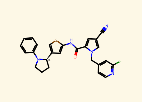 N#Cc1cc(C(=O)Nc2cc([C@H]3CCCN3c3ccccc3)cs2)n(Cc2ccnc(F)c2)c1